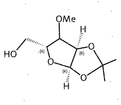 COC1[C@H]2OC(C)(C)O[C@H]2O[C@@H]1CO